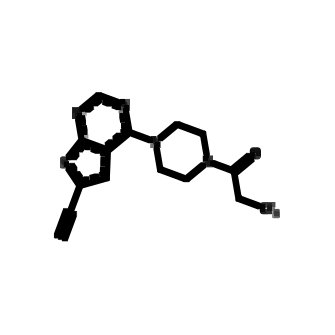 C#Cc1cc2c(N3CCN(C(=O)CC(F)(F)F)CC3)ncnc2s1